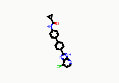 O=C(Nc1ccc(-c2ccc(-c3nc4c(Cl)ccnc4[nH]3)cc2)cc1)C1CC1